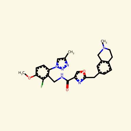 COc1ccc(-n2cc(C)nn2)c(CNC(=O)c2coc(Cc3ccc4c(c3)CN(C)CC4)n2)c1F